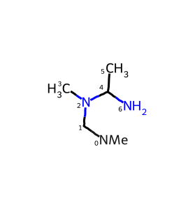 CNCN(C)C(C)N